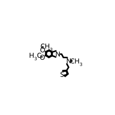 COc1cc2c(cc1OC)CN(CCCN(C)CCc1ccsc1)C2